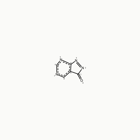 O=C1N=Nc2ncncc21